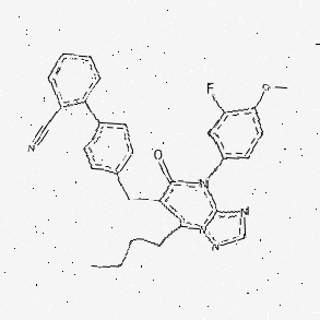 CCCCc1c(Cc2ccc(-c3ccccc3C#N)cc2)c(=O)n(-c2ccc(OC)c(F)c2)c2ncnn12